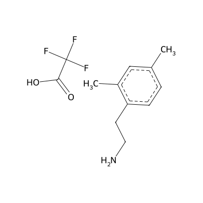 Cc1ccc(CCN)c(C)c1.O=C(O)C(F)(F)F